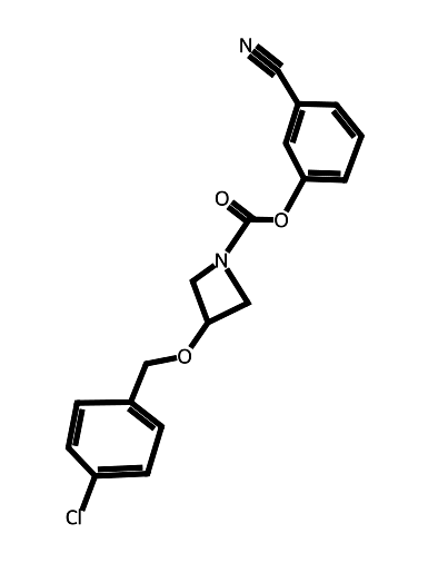 N#Cc1cccc(OC(=O)N2CC(OCc3ccc(Cl)cc3)C2)c1